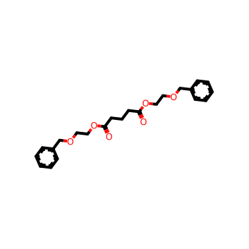 O=C(CCCC(=O)OCCOCc1ccccc1)OCCOCc1ccccc1